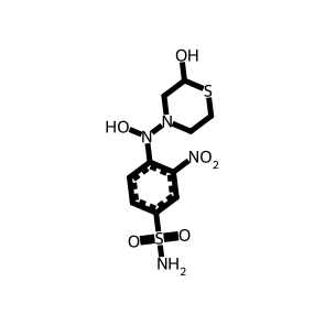 NS(=O)(=O)c1ccc(N(O)N2CCSC(O)C2)c([N+](=O)[O-])c1